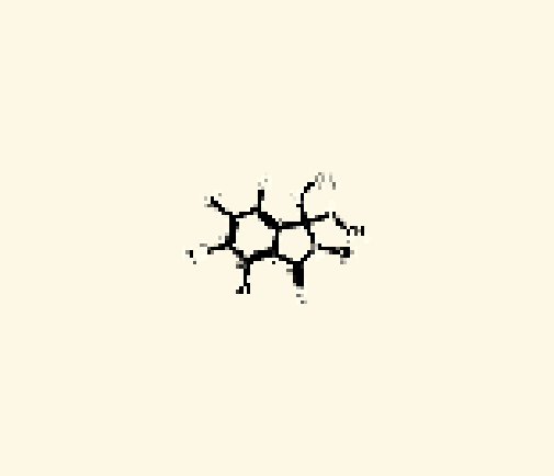 COC1(OC)c2c(Cl)c(Cl)c(C)c(Cl)c2C(=O)N1S